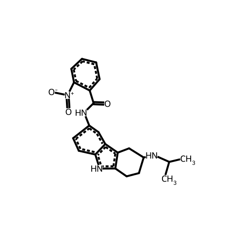 CC(C)NC1CCc2[nH]c3ccc(NC(=O)c4ccccc4[N+](=O)[O-])cc3c2C1